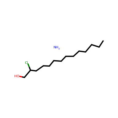 CCCCCCCCCCCCC(Cl)CO.N